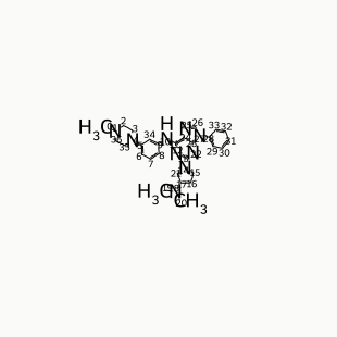 CN1CCN(c2cccc(Nc3nc(N4CCC(N(C)C)C4)nc4c3ncn4-c3ccccc3)c2)CC1